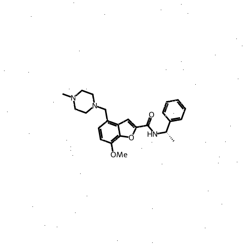 COc1ccc(CN2CCN(C)CC2)c2cc(C(=O)N[C@@H](C)c3ccccc3)oc12